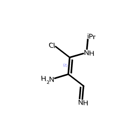 CC(C)N/C(Cl)=C(/N)C=N